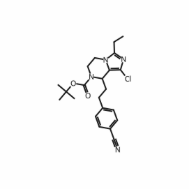 CCc1nc(Cl)c2n1CCN(C(=O)OC(C)(C)C)C2CCc1ccc(C#N)cc1